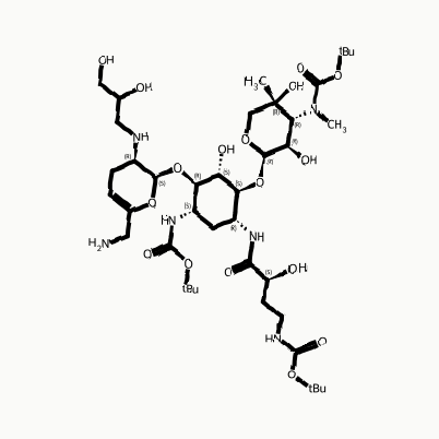 CN(C(=O)OC(C)(C)C)[C@@H]1[C@@H](O)[C@@H](O[C@@H]2[C@@H](O)[C@H](O[C@H]3OC(CN)=CC[C@H]3NCC(O)CO)[C@@H](NC(=O)OC(C)(C)C)C[C@H]2NC(=O)[C@@H](O)CCNC(=O)OC(C)(C)C)OC[C@]1(C)O